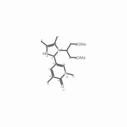 COCC(COC)N1C(C)=C(C)NC1c1cc(C)c(=O)n(C)c1